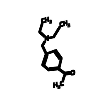 CCN(CC)Cc1ccc(C(C)=O)cc1